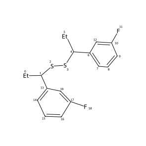 CCC(SSC(CC)c1cccc(F)c1)c1cccc(F)c1